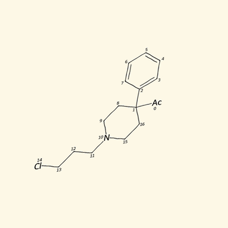 CC(=O)C1(c2ccccc2)CCN(CCCCl)CC1